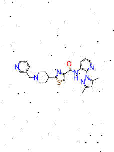 Cc1cc(C)n(-c2ncccc2NC(=O)c2csc(C3CCN(Cc4cccnc4)CC3)n2)n1